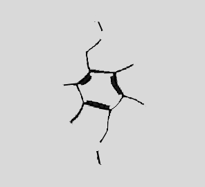 ClSCc1c(Cl)c(Cl)c(CSCl)c(Cl)c1Cl